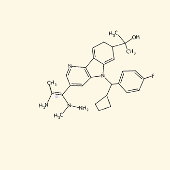 C/C(N)=C(\c1cnc2c3c(n(C(c4ccc(F)cc4)C4CCC4)c2c1)=CC(C(C)(C)O)CC=3)N(C)N